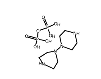 C1CN(N2CCNCC2)CCN1.O=P(O)(O)OP(=O)(O)O